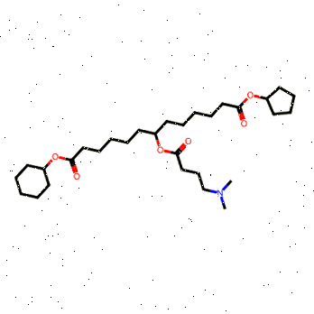 CN(C)CCCC(=O)OC(CCCCCC(=O)OC1CCCCC1)CCCCCC(=O)OC1CCCC1